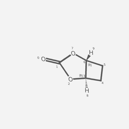 O=C1O[C@@H]2CC[C@H]2O1